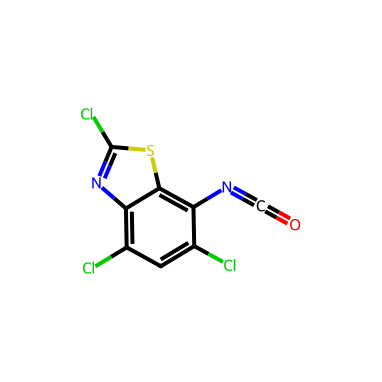 O=C=Nc1c(Cl)cc(Cl)c2nc(Cl)sc12